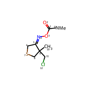 CNC(=O)ON=C1CSCC1(C)CCl